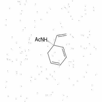 C=C[C@@]1(NC(C)=O)C=CC=CC1